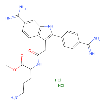 COC(=O)C(CCCN)NC(=O)Cc1c(-c2ccc(C(=N)N)cc2)[nH]c2cc(C(=N)N)ccc12.Cl.Cl